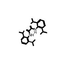 C=C(Nc1c(C(C)C)cccc1C(C)C)C(=C)Nc1c(C(C)C)cccc1C(C)C